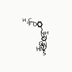 CC(F)COc1cccc(CCNCc2ccc(CN3CC(=S)NC3=O)cn2)c1